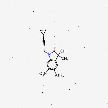 CC1(C)C(=O)N(CC#CC2CC2)c2cc([N+](=O)[O-])c([AsH2])cc21